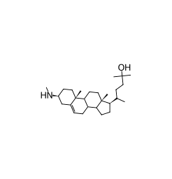 CN[C@H]1CC[C@@]2(C)C(=CCC3C2CC[C@@]2(C)C3CC[C@@H]2C(C)CCC(C)(C)O)C1